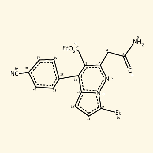 CCOC(=O)c1c(CC(N)=O)nn2c(CC)ccc2c1-c1ccc(C#N)cc1